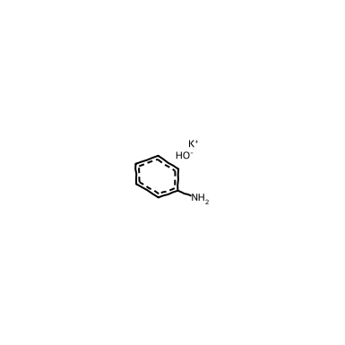 Nc1ccccc1.[K+].[OH-]